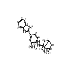 Nc1cc(-c2nc3ccccc3o2)ccc1NC12CC3CC(CC(C3)C1)C2